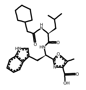 Cc1oc([C@@H](Cc2c[nH]c3ccccc23)NC(=O)[C@H](CC(C)C)NC(=O)CC2CCCCC2)nc1C(=O)O